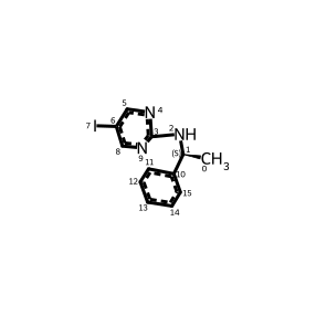 C[C@H](Nc1ncc(I)cn1)c1ccccc1